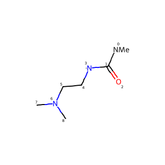 CNC(=O)[N]CCN(C)C